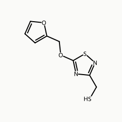 SCc1nsc(OCc2ccco2)n1